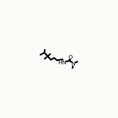 CC(C)C(C)(C)CCCCNC(=O)N(C)C